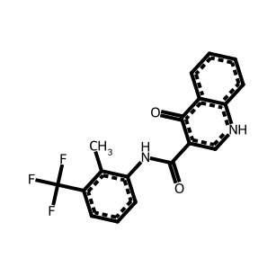 Cc1c(NC(=O)c2c[nH]c3ccccc3c2=O)cccc1C(F)(F)F